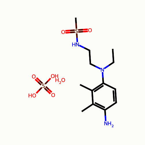 CCN(CCNS(C)(=O)=O)c1ccc(N)c(C)c1C.O.O=S(=O)(O)O